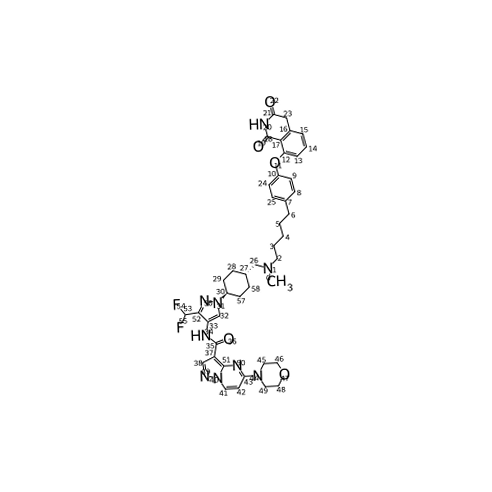 CN(CCCCCc1ccc(Oc2cccc3c2C(=O)NC(=O)C3)cc1)C[C@H]1CC[C@H](n2cc(NC(=O)c3cnn4ccc(N5CCOCC5)nc34)c(C(F)F)n2)CC1